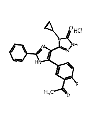 CC(=O)c1cc(-c2[nH]c(-c3ccccc3)nc2-c2n[nH]c(=O)n2C2CC2)ccc1F.Cl